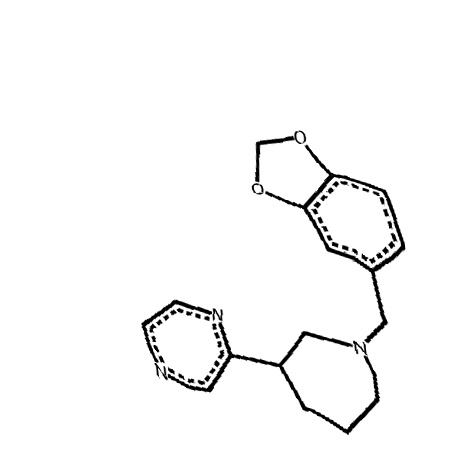 c1cnc(C2CCCN(Cc3ccc4c(c3)OCO4)C2)cn1